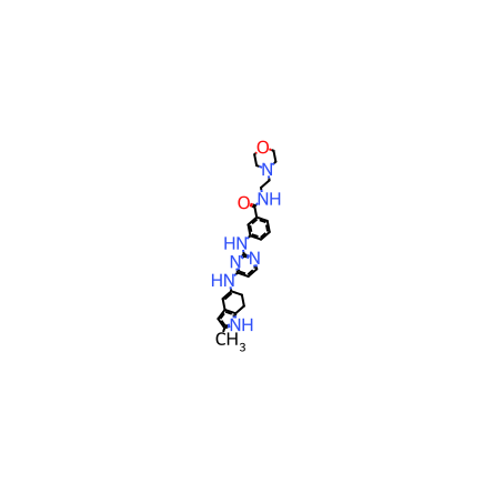 Cc1cc2c([nH]1)CCC(Nc1ccnc(Nc3cccc(C(=O)NCCN4CCOCC4)c3)n1)=C2